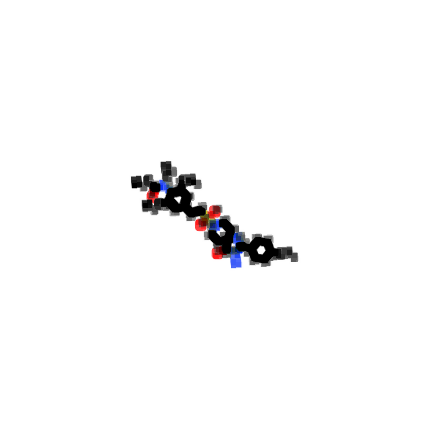 CC(=O)N(C)c1c(C)cc(C=CS(=O)(=O)N2CCC3(CC2)N=C(C2CCC(C)CC2)NC3=O)cc1C